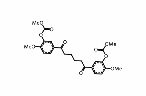 COC(=O)Oc1cc(C(=O)CCCCC(=O)c2ccc(OC)c(OC(=O)OC)c2)ccc1OC